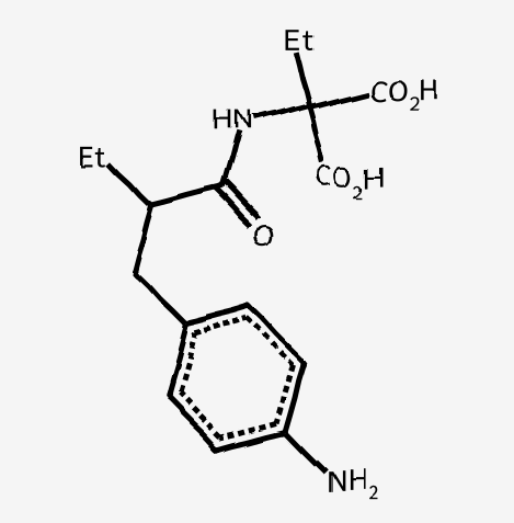 CCC(Cc1ccc(N)cc1)C(=O)NC(CC)(C(=O)O)C(=O)O